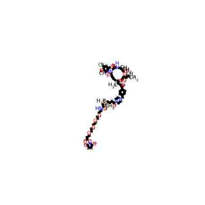 COc1ccc(C[C@H]2NC(=O)C=CC[C@@H]([C@H](C)[C@H]3O[C@@H]3c3ccc(CN4CCN(C(=O)CCCS(C)(C)CC(=O)NCCOCCOCCOCCOCCC(=O)ON5C(=O)CCC5=O)CC4)cc3)OC(=O)C(CC(C)C)OC(=O)C(C)(C)CNC2=O)cc1Cl